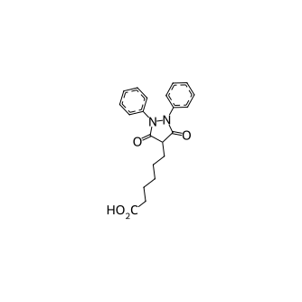 O=C(O)CCCCCC1C(=O)N(c2ccccc2)N(c2ccccc2)C1=O